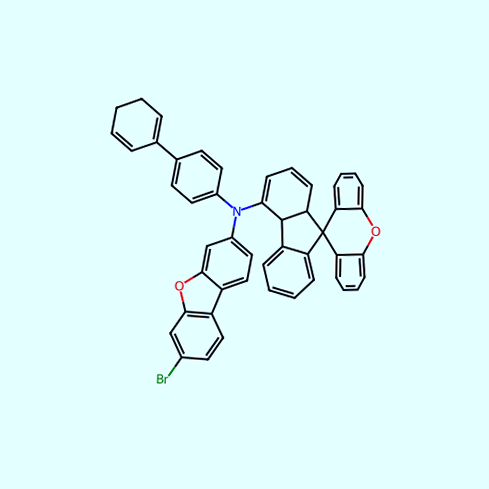 Brc1ccc2c(c1)oc1cc(N(C3=CC=CC4C3c3ccccc3C43c4ccccc4Oc4ccccc43)c3ccc(C4=CCCC=C4)cc3)ccc12